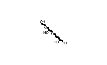 OCCOCC(O)COCCCC(O)CO